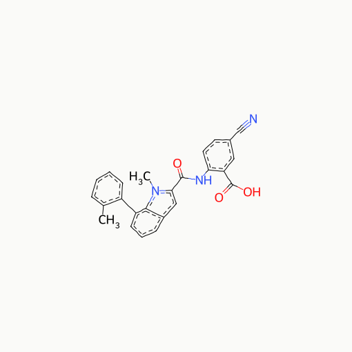 Cc1ccccc1-c1cccc2cc(C(=O)Nc3ccc(C#N)cc3C(=O)O)n(C)c12